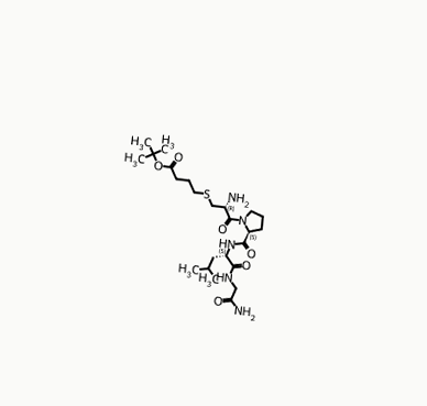 CC(C)C[C@H](NC(=O)[C@@H]1CCCN1C(=O)[C@@H](N)CSCCCC(=O)OC(C)(C)C)C(=O)NCC(N)=O